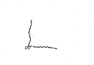 CCCCCCCCCCCCCCCCCC=C1OC(=O)C1CCCCCCCCCCCCCCCCC